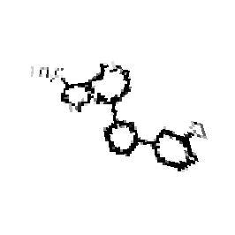 O=C(O)c1cnn2c(-c3cccc(-c4cccc(Cl)c4)c3)ccnc12